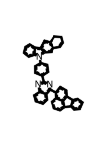 C1=Cc2cc3c(cc2CC1)c1ccccc1n3-c1ccc(-c2nc(-c3ccc4c5c(cccc35)-c3ccccc3-4)c3ccccc3n2)cc1